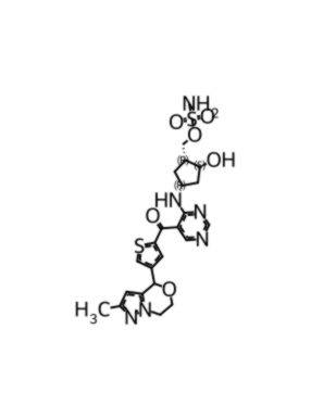 Cc1cc2n(n1)CCOC2c1csc(C(=O)c2cncnc2N[C@@H]2C[C@H](COS(N)(=O)=O)[C@@H](O)C2)c1